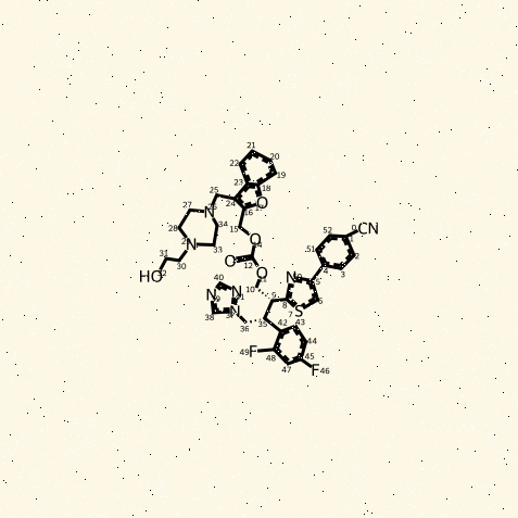 N#Cc1ccc(-c2csc([C@@H](COC(=O)OCc3oc4ccccc4c3CN3CCN(CCO)CC3)[C@@H](Cn3cncn3)c3ccc(F)cc3F)n2)cc1